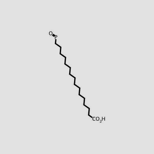 O=PCCCCCCCCCCCCCCCC(=O)O